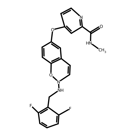 CNC(=O)c1cc(Oc2ccc3c(c2)C=CN(NCc2c(F)cccc2F)O3)ccn1